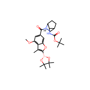 COc1cc(C(=O)N2CC3CCC2[C@@H]3NC(=O)OC(C)(C)C)cc2oc(B3OC(C)(C)C(C)(C)O3)c(C)c12